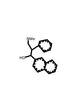 CNCC(c1ccccc1)C(O)c1ccc2ccccc2c1